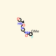 COc1cc(F)cc(C(=O)NCC2CCN(CC(=O)NC3(C4CCOCC4)CC3)CC2)c1